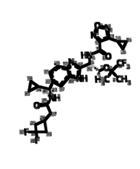 CC(C)(OC[C@@H](NC(=O)c1nonc1C1CC1)c1nc2ccc([C@H](NC(=O)CC3CC(F)(F)C3)C3CC3)cc2[nH]1)C(F)(F)F